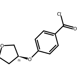 O=C(Cl)c1ccc(O[C@H]2CCOC2)cc1